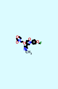 Cn1cc(-c2cn(-c3ccc(OCF)cc3)c(=O)cc2OCCN2CCOCC2=O)cn1